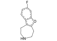 Fc1ccc2c3c(oc2c1)CCNCC3